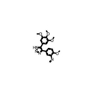 C=Nc1cc(-c2nn[nH]c2-c2cc(OC)c(OC)c(OC)c2)ccc1OC